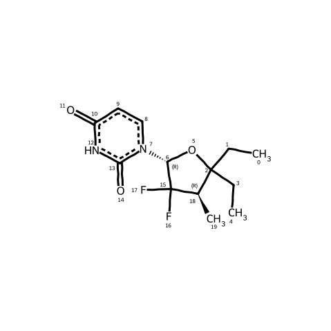 CCC1(CC)O[C@@H](n2ccc(=O)[nH]c2=O)C(F)(F)[C@@H]1C